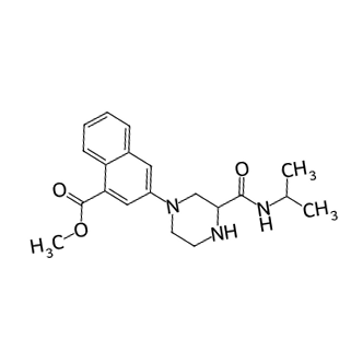 COC(=O)c1cc(N2CCNC(C(=O)NC(C)C)C2)cc2ccccc12